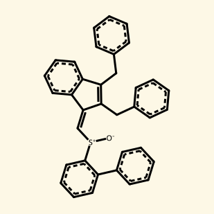 [O-][S+](/C=C1\C(Cc2ccccc2)=C(Cc2ccccc2)c2ccccc21)c1ccccc1-c1ccccc1